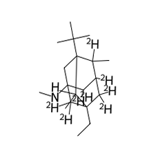 [2H]C1([2H])C2(NC)CC3(C(C)(C)C)C([2H])(C)C1([2H])C([2H])([2H])C(CC)(C2([2H])[2H])C3(C)C